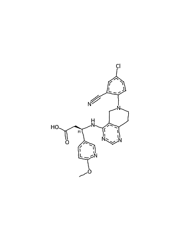 COc1ccc([C@@H](CC(=O)O)Nc2ncnc3c2CN(c2ccc(Cl)cc2C#N)CC3)cn1